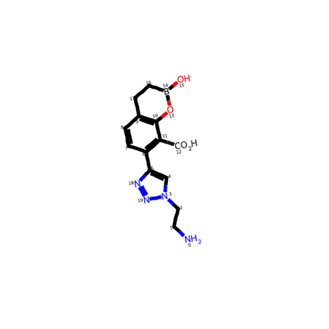 NCCn1cc(-c2ccc3c(c2C(=O)O)OB(O)CC3)nn1